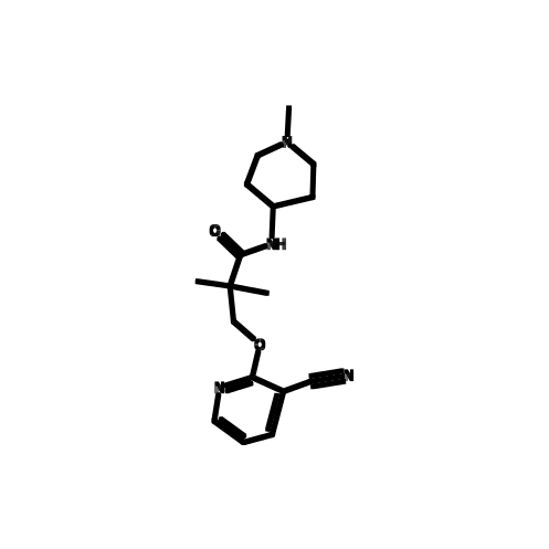 CN1CCC(NC(=O)C(C)(C)COc2ncccc2C#N)CC1